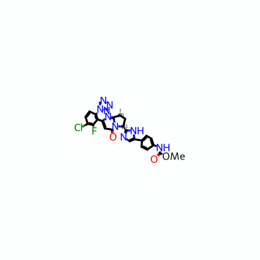 COC(=O)Nc1ccc(-c2cnc([C@@H]3C[C@@H](C)c4nc(-c5c(-n6cnnn6)ccc(Cl)c5F)cc(=O)n43)[nH]2)cc1